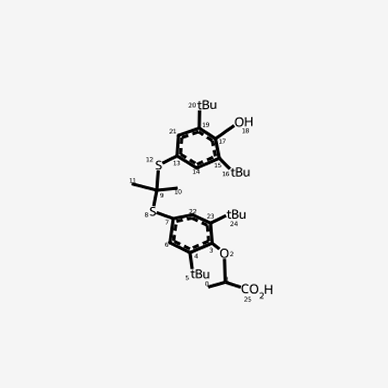 CC(Oc1c(C(C)(C)C)cc(SC(C)(C)Sc2cc(C(C)(C)C)c(O)c(C(C)(C)C)c2)cc1C(C)(C)C)C(=O)O